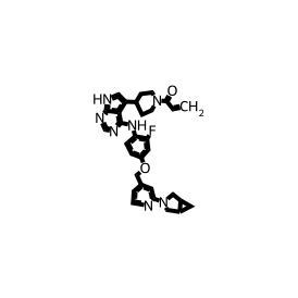 C=CC(=O)N1CCC(c2c[nH]c3ncnc(Nc4ccc(OCc5ccnc(N6CC7CC7C6)c5)cc4F)c23)CC1